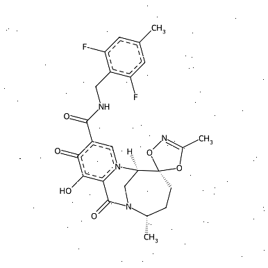 CC1=NO[C@@]2(CC[C@H](C)N3C[C@H]2n2cc(C(=O)NCc4c(F)cc(C)cc4F)c(=O)c(O)c2C3=O)O1